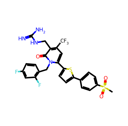 CS(=O)(=O)c1ccc(-c2ccc(-c3cc(C(F)(F)F)c(CNC(=N)N)c(=O)n3Cc3ccc(F)cc3F)s2)cc1